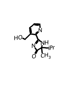 CC(C)C1(C)NC(c2ncccc2CO)=NC1=O